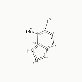 CC(C)(C)c1c(I)ccc2cn[nH]c12